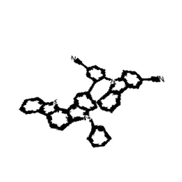 N#Cc1ccc(-n2c3ccccc3c3cc(C#N)ccc32)c(-c2ccc3c(c2)c2c4sc5ccccc5c4ccc2n3-c2ccccc2)c1